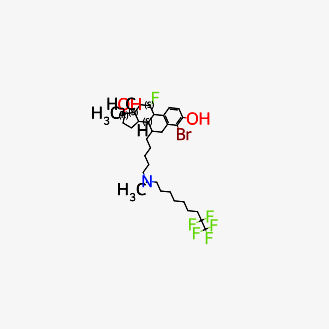 CN(CCCCCCCC(F)(F)C(F)(F)F)CCCCCC1Cc2c(ccc(O)c2Br)C2[C@@H]1C1CC[C@@](C)(O)[C@@]1(C)C[C@@H]2F